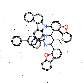 CCC1C(c2cccc3c2oc2ccccc23)=NC(c2ccc(-c3ccccc3)cc2)=NC1c1c(-n2c3cc4ccccc4cc3c3c4ccccc4ccc32)ccc2oc3ccccc3c12